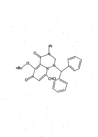 CCCCOc1c2n(c(C=O)cc1=O)N(C(c1ccccc1)c1ccccc1)CN(C(C)C)C2=O